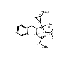 C[SiH](C)OC(C(Cc1ccccc1)NC(=O)OC(C)(C)C)(C1CC1C(=O)O)C(C)(C)C